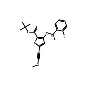 COC#Cc1cc(O[C@H](C)c2ccccc2Cl)c(C(=O)OC(C)(C)C)s1